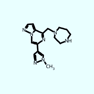 Cn1cc(-c2cn3nccc3c(CN3CCCNCC3)n2)cn1